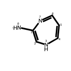 [NH]C1=CNC=CC=N1